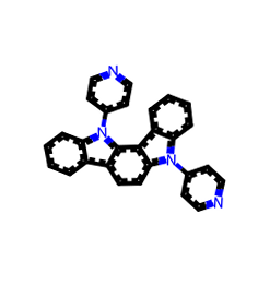 c1ccc2c(c1)c1c(ccc3c4ccccc4n(-c4ccncc4)c31)n2-c1ccncc1